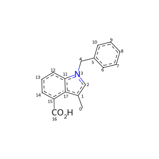 Cc1cn(Cc2ccccc2)c2cccc(C(=O)O)c12